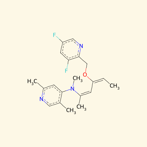 C/C=C(\C=C(\C)N(C)c1cc(C)ncc1C)OCc1ncc(F)cc1F